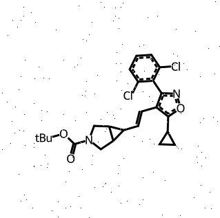 CC(C)(C)OC(=O)N1CC2C(C=Cc3c(-c4c(Cl)cccc4Cl)noc3C3CC3)C2C1